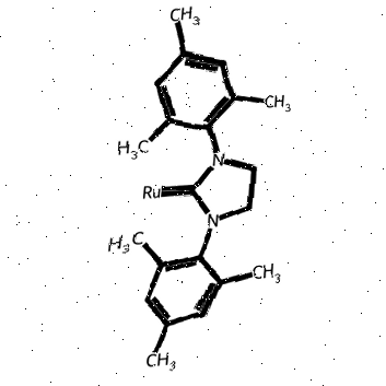 Cc1cc(C)c(N2CCN(c3c(C)cc(C)cc3C)[C]2=[Ru])c(C)c1